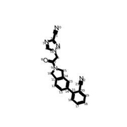 N#Cc1ncn(CC(=O)N2Cc3ccc(-c4ccccc4C#N)cc3C2)n1